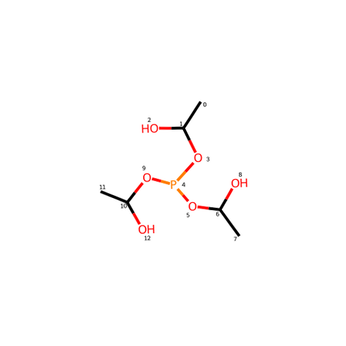 CC(O)OP(OC(C)O)OC(C)O